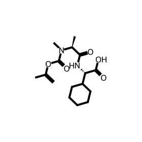 C=C(C)OC(=O)N(C)[C@@H](C)C(=O)N[C@H](C(=O)O)C1CCCCC1